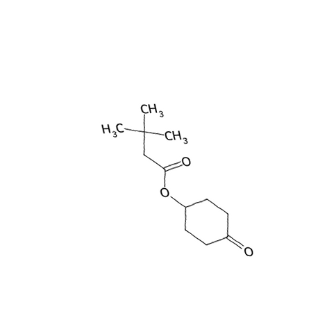 CC(C)(C)CC(=O)OC1CCC(=O)CC1